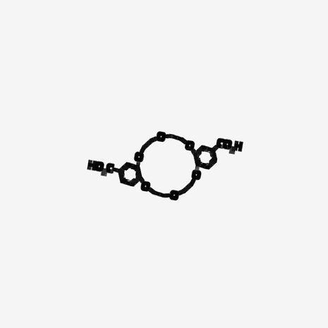 O=C(O)c1ccc2c(c1)OCCOCCOc1cc(C(=O)O)ccc1OCCOCCO2